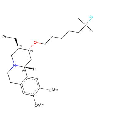 COc1cc2c(cc1OC)[C@H]1C[C@@H](OCCCCCC(C)(C)[19F])[C@H](CC(C)C)CN1CC2